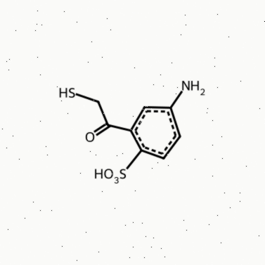 Nc1ccc(S(=O)(=O)O)c(C(=O)CS)c1